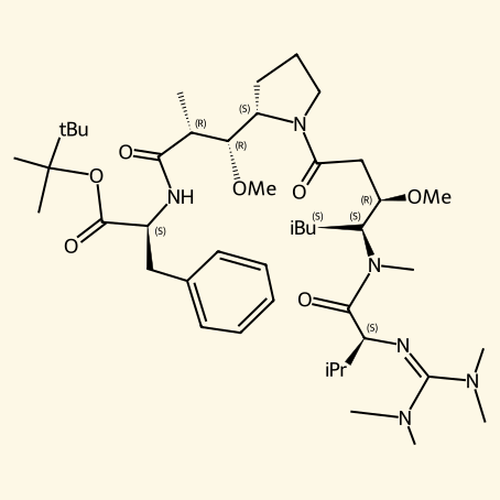 CC[C@H](C)[C@@H]([C@@H](CC(=O)N1CCC[C@H]1[C@H](OC)[C@@H](C)C(=O)N[C@@H](Cc1ccccc1)C(=O)OC(C)(C)C(C)(C)C)OC)N(C)C(=O)[C@@H](N=C(N(C)C)N(C)C)C(C)C